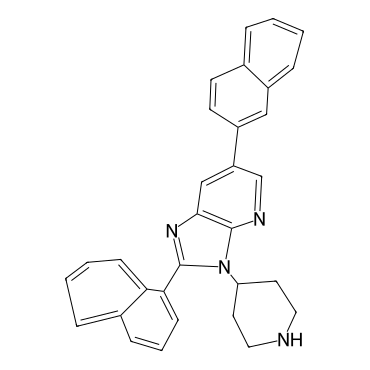 c1ccc2cc(-c3cnc4c(c3)nc(-c3cccc5ccccc35)n4C3CCNCC3)ccc2c1